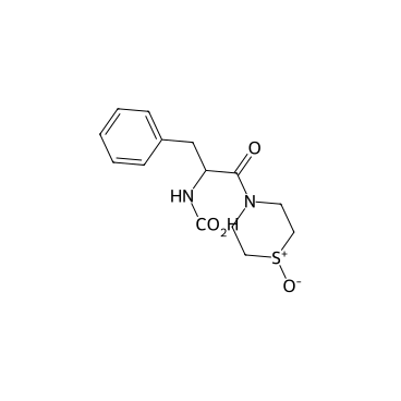 O=C(O)NC(Cc1ccccc1)C(=O)N1CC[S+]([O-])CC1